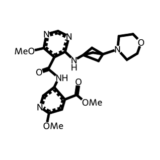 COC(=O)c1cc(OC)ncc1NC(=O)c1c(NC23CC(N4CCOCC4)(C2)C3)ncnc1OC